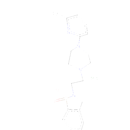 Cl.O=S1(=O)c2ccccc2CN1CCN1CCN(c2cccc(C(F)(F)F)n2)CC1